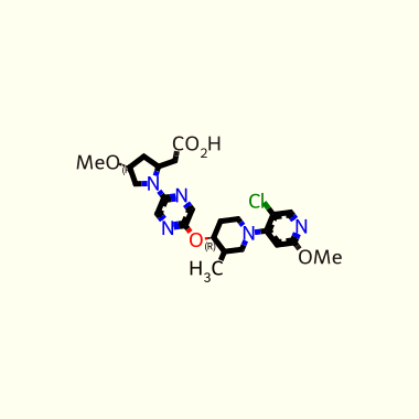 COc1cc(N2CC[C@@H](Oc3cnc(N4C[C@H](OC)CC4CC(=O)O)cn3)C(C)C2)c(Cl)cn1